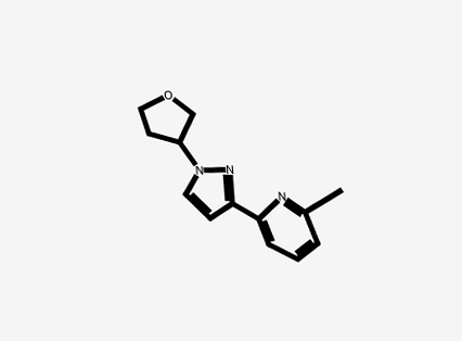 Cc1cccc(-c2ccn(C3CCOC3)n2)n1